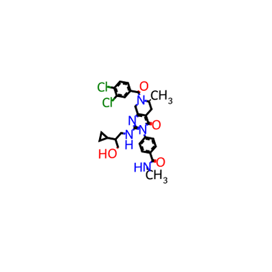 CNC(=O)c1ccc(-n2c(NCC(CO)C3CC3)nc3c(c2=O)C[C@@H](C)N(C(=O)c2ccc(Cl)c(Cl)c2)C3)cc1